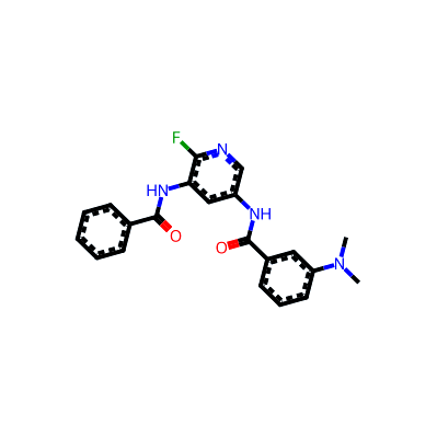 CN(C)c1cccc(C(=O)Nc2cnc(F)c(NC(=O)c3ccccc3)c2)c1